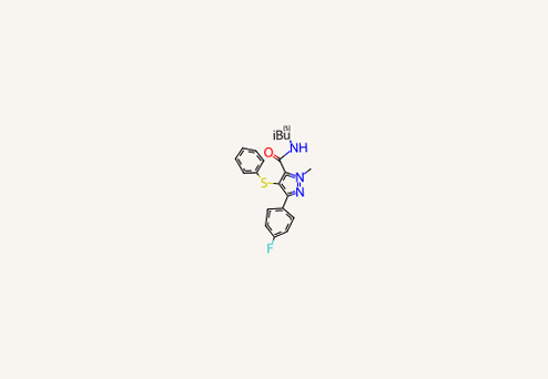 CC[C@H](C)NC(=O)c1c(Sc2ccccc2)c(-c2ccc(F)cc2)nn1C